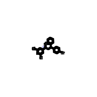 O/N=C(\CC(c1ccccc1)c1ccc(Br)cc1)c1cc(Cl)nc(Cl)c1